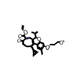 CCOC(=O)/C1=C/C2=C(c3cc(C)c(OCCCOC)cc3OC2C(C)C)C(C2CC2)CCC1=O